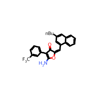 CCCCc1cc(C=C2OC(N)=C(c3cccc(C(F)(F)F)c3)C2=O)c2ccccc2c1